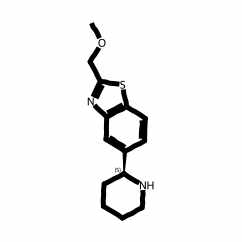 COCc1nc2cc([C@@H]3CCCCN3)ccc2s1